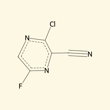 N#Cc1nc(F)cnc1Cl